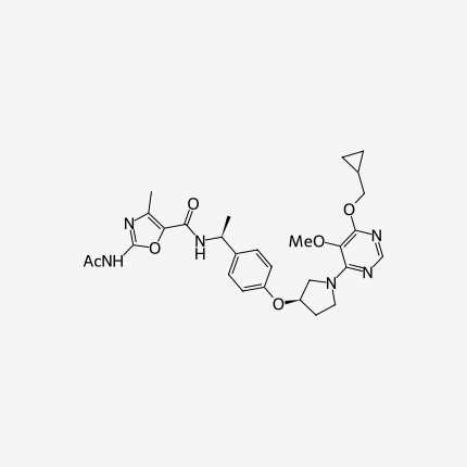 COc1c(OCC2CC2)ncnc1N1CC[C@@H](Oc2ccc([C@H](C)NC(=O)c3oc(NC(C)=O)nc3C)cc2)C1